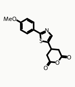 COc1ccc(-c2ncc(C3CC(=O)OC(=O)C3)s2)cc1